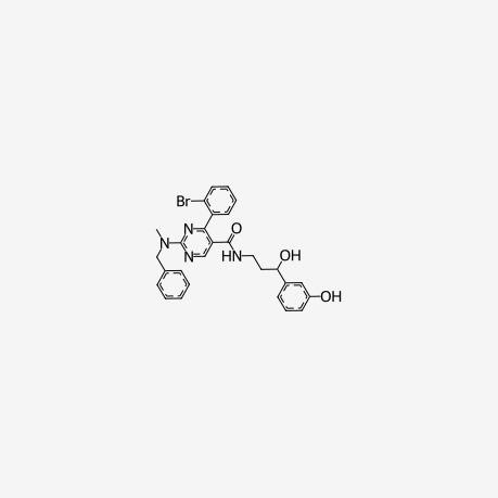 CN(Cc1ccccc1)c1ncc(C(=O)NCCC(O)c2cccc(O)c2)c(-c2ccccc2Br)n1